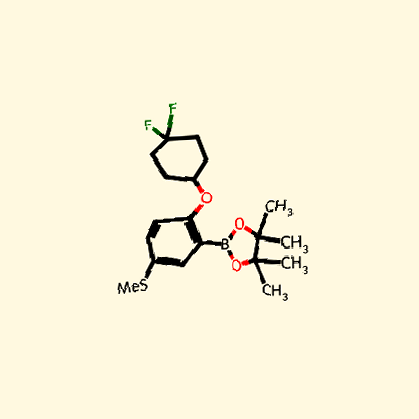 CSc1ccc(OC2CCC(F)(F)CC2)c(B2OC(C)(C)C(C)(C)O2)c1